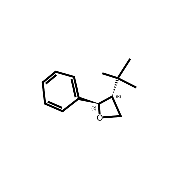 CC(C)(C)[C@@H]1CO[C@H]1c1ccccc1